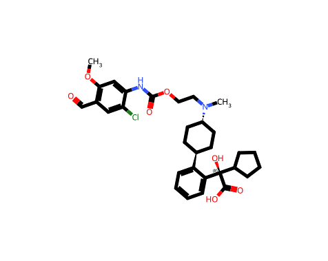 COc1cc(NC(=O)OCCN(C)[C@H]2CC[C@H](c3ccccc3[C@@](O)(C(=O)O)C3CCCC3)CC2)c(Cl)cc1C=O